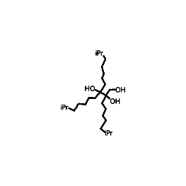 CC(C)CCCCCC(O)(CO)C(O)(CCCCCC(C)C)CCCCCC(C)C